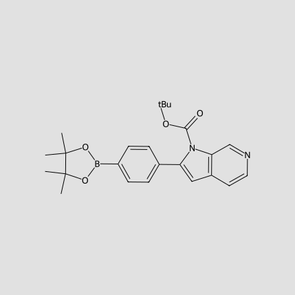 CC(C)(C)OC(=O)n1c(-c2ccc(B3OC(C)(C)C(C)(C)O3)cc2)cc2ccncc21